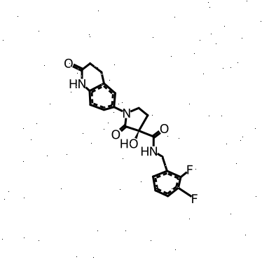 O=C1CCc2cc(N3CC[C@](O)(C(=O)NCc4cccc(F)c4F)C3=O)ccc2N1